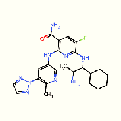 Cc1ncc(Nc2nc(N[C@H](C3CCCCC3)[C@H](C)N)c(F)cc2C(N)=O)cc1-n1nccn1